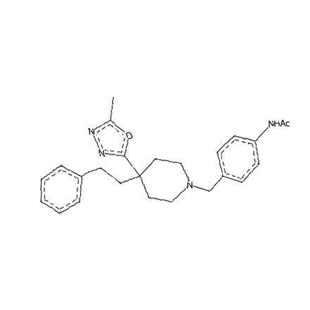 CC(=O)Nc1ccc(CN2CCC(CCc3ccccc3)(c3nnc(C)o3)CC2)cc1